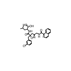 CC(C)CC(NC(=O)C1(Cc2cccc(Cl)c2)CC(CNC(=O)c2nccc3ccccc23)=NO1)B(O)O